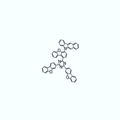 c1ccc2cc3c(cc2c1)c1ccccc1n3-c1ccc(-c2nc(-c3ccc4c(c3)oc3ccccc34)nc(-c3ccc4c(c3)oc3ccccc34)n2)c2c1oc1ccccc12